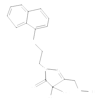 COCC1=NN(CCOc2cccc3ccccc23)C(=O)C1(O)O